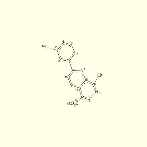 CCOC(=O)c1cnc(Cl)c2nc(-c3cccc(F)c3)ccc12